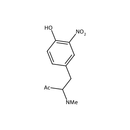 CNC(Cc1ccc(O)c([N+](=O)[O-])c1)C(C)=O